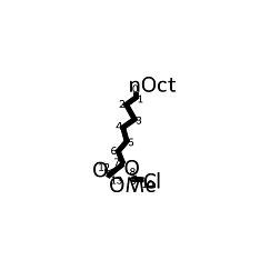 CCCCCCCCCCCCCCC(OCCl)C(=O)OC